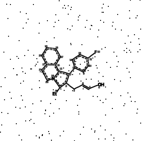 CCc1c(C/C=C/O)c(-c2ccc(F)cc2)c2c3ccccc3ccn12